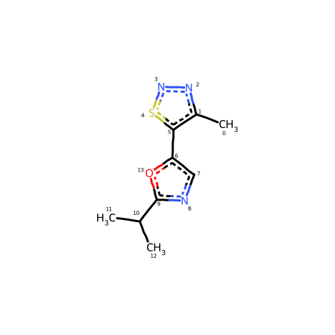 Cc1nnsc1-c1cnc(C(C)C)o1